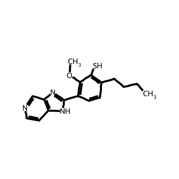 CCCCc1ccc(-c2nc3cnccc3[nH]2)c(OC)c1S